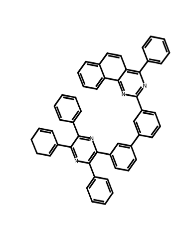 C1=CC(c2nc(-c3ccccc3)c(-c3cccc(-c4cccc(-c5nc(-c6ccccc6)c6ccc7ccccc7c6n5)c4)c3)nc2-c2ccccc2)=CCC1